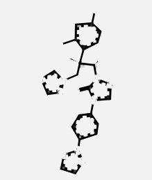 C[C@@H](n1ncn(-c2ccc(-n3nccn3)cc2)c1=O)[C@](O)(Cn1cncn1)c1ccc(F)cc1F